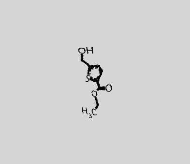 CCOC(=O)c1ccc(CO)s1